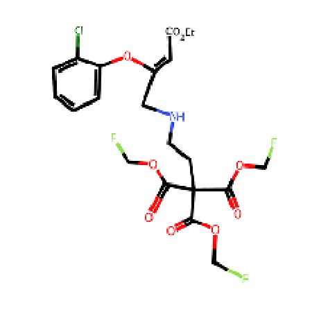 CCOC(=O)/C=C(/CNCCC(C(=O)OCF)(C(=O)OCF)C(=O)OCF)Oc1ccccc1Cl